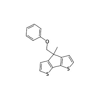 CC1(COc2ccccc2)c2ccsc2-c2sccc21